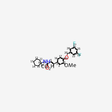 COc1cc(C=CC(=O)NC2(C(=O)O)CCCCC2)ccc1OCc1cc(F)cc(F)c1